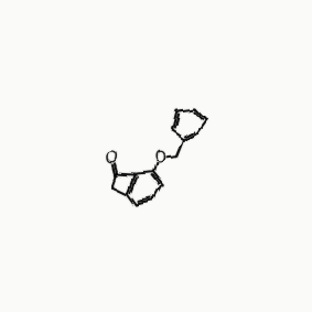 O=C1Cc2cccc(OCc3ccccc3)c21